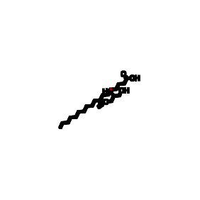 C=C.CCCCCCCCCCCCCCCCCC(=O)O.OCC(O)CO